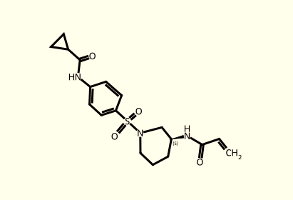 C=CC(=O)N[C@H]1CCCN(S(=O)(=O)c2ccc(NC(=O)C3CC3)cc2)C1